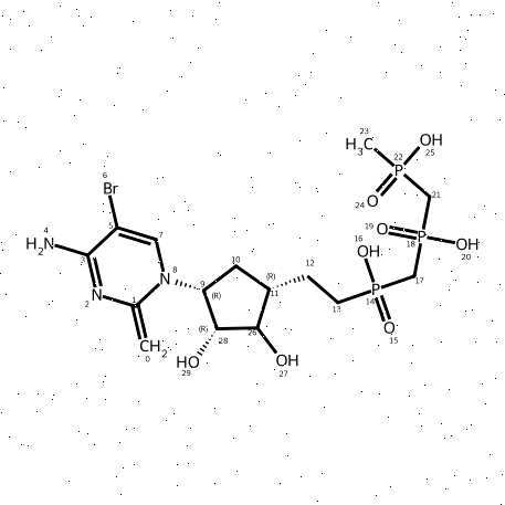 C=C1N=C(N)C(Br)=CN1[C@@H]1C[C@H](CCP(=O)(O)CP(=O)(O)CP(C)(=O)O)C(O)[C@@H]1O